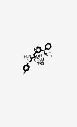 Cl.Cl.N[C@@H](COc1ccc(F)cc1)[C@](O)(Cc1cc(N(CC(F)(F)F)C2CCCCC2)ccn1)C(=O)O